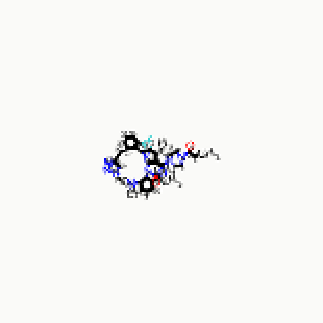 C=CC(=O)N1CCN(c2nc(=O)n3c4nc(c(F)cc24)-c2c(F)cccc2Cc2cn(nn2)CCN(C)c2cccc(C(C)C)c2-3)[C@@H](C)C1